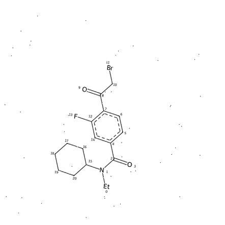 CCN(C(=O)c1ccc(C(=O)CBr)c(F)c1)C1CCCCC1